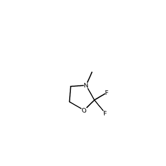 CN1CCOC1(F)F